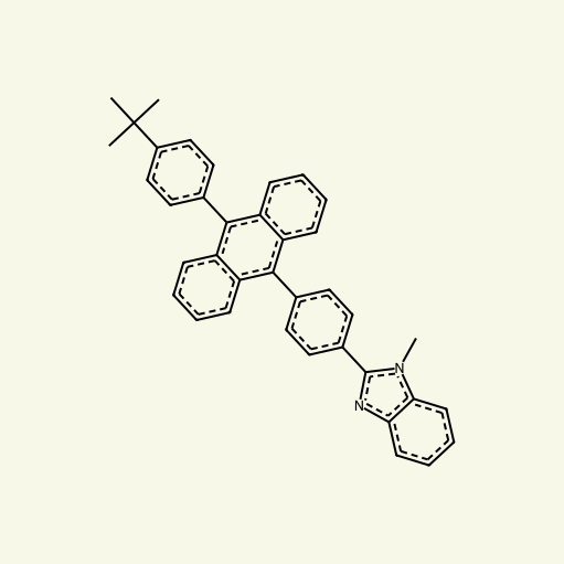 Cn1c(-c2ccc(-c3c4ccccc4c(-c4ccc(C(C)(C)C)cc4)c4ccccc34)cc2)nc2ccccc21